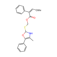 CO/C=C(\C(=O)OCSC1NC(C)=C(c2ccccc2)O1)c1ccccc1